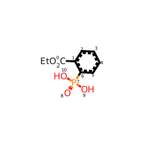 CCOC(=O)c1ccccc1P(=O)(O)O